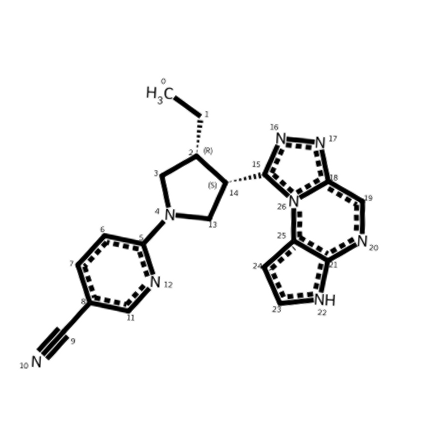 CC[C@H]1CN(c2ccc(C#N)cn2)C[C@H]1c1nnc2cnc3[nH]ccc3n12